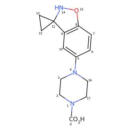 O=C(O)N1CCN(c2ccc3c(c2)C2(CC2)NO3)CC1